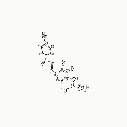 CC(Oc1ccc(C=CC(=O)c2ccc(Br)cc2)c(Cl)c1Cl)C(=O)O